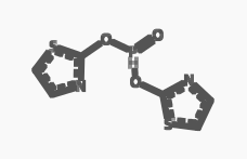 O=[PH](Oc1nccs1)Oc1nccs1